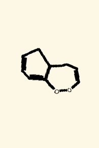 C1=CCC2CC=COOC2=C1